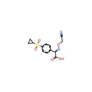 N#CCO/N=C(/C(=O)O)c1ccc(S(=O)(=O)C2CC2)cc1